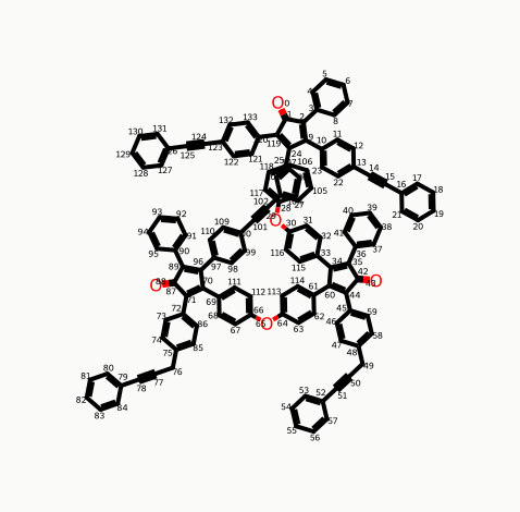 O=C1C(c2ccccc2)=C(c2ccc(C#Cc3ccccc3)cc2)C(c2ccc(Oc3ccc(C4=C(c5ccccc5)C(=O)C(c5ccc(CC#Cc6ccccc6)cc5)=C4c4ccc(Oc5ccc(C6=C(c7ccc(CC#Cc8ccccc8)cc7)C(=O)C(c7ccccc7)=C6c6ccc(C#Cc7ccccc7)cc6)cc5)cc4)cc3)cc2)=C1c1ccc(C#Cc2ccccc2)cc1